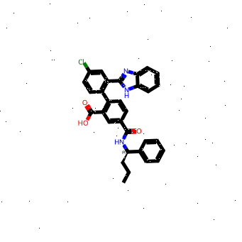 CCC[C@@H](NC(=O)c1ccc(-c2ccc(Cl)cc2-c2nc3ccccc3[nH]2)c(C(=O)O)c1)c1ccccc1